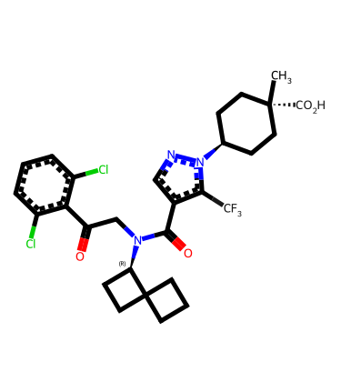 C[C@]1(C(=O)O)CC[C@H](n2ncc(C(=O)N(CC(=O)c3c(Cl)cccc3Cl)[C@@H]3CCC34CCC4)c2C(F)(F)F)CC1